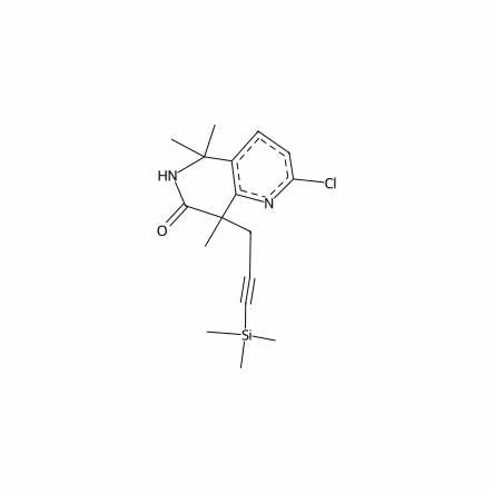 CC1(C)NC(=O)C(C)(CC#C[Si](C)(C)C)c2nc(Cl)ccc21